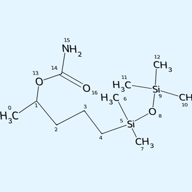 CC(CCC[Si](C)(C)O[Si](C)(C)C)OC(N)=O